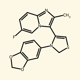 Cc1nc2ccc(F)cn2c1C1=CSCN1c1ccc2c(c1)OCO2